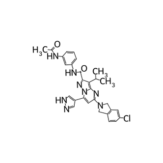 CC(=O)Nc1cccc(NC(=O)c2nn3c(-c4cn[nH]c4)cc(N4Cc5ccc(Cl)cc5C4)nc3c2C(C)C)c1